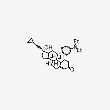 CCN(CC)c1ccc([C@H]2C[C@@]3(C)[C@@H](CC[C@@]3(O)C#CC3CC3)[C@@H]3CCC4=CC(=O)CC[C@@H]4[C@H]32)cc1